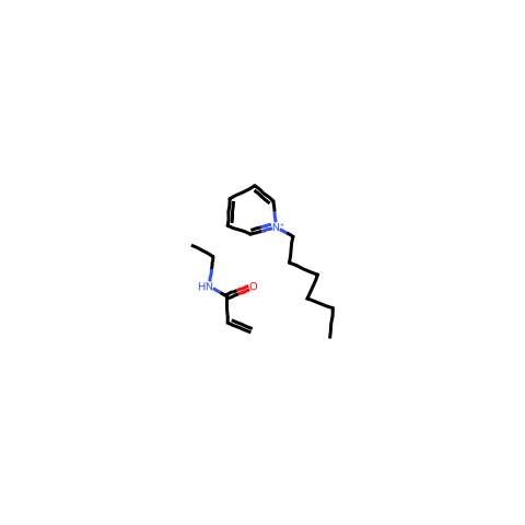 C=CC(=O)NCC.CCCCCC[n+]1ccccc1